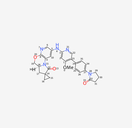 COc1cc(Nc2cnc3c(c2)N2C(=O)C4(CC4)C[C@H]2CO3)ncc1-c1ccc(N2CCCC2=O)cc1